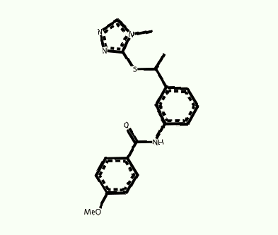 COc1ccc(C(=O)Nc2cccc(C(C)Sc3nncn3C)c2)cc1